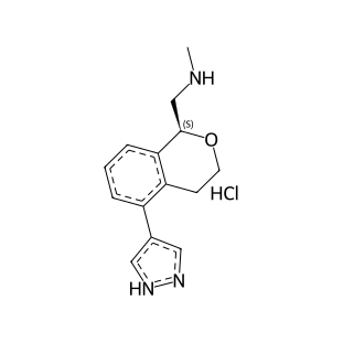 CNC[C@H]1OCCc2c(-c3cn[nH]c3)cccc21.Cl